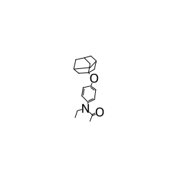 CCN(C(C)=O)c1ccc(OC23CC4CC(CC(C4)C2)C3)cc1